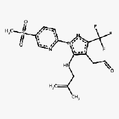 C=C(C)CNc1c(CC=O)c(C(F)(F)F)nn1-c1ccc(S(C)(=O)=O)cn1